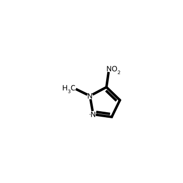 CN1[N+]=CC=C1[N+](=O)[O-]